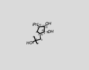 CC(C)[C@@H]1C[C@H](CC(C)(C)O)[C@@H](O)[C@H]1O